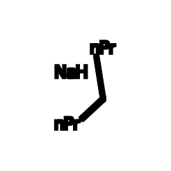 CCCCCCC.[NaH]